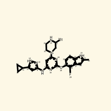 CCC1CN(c2cc(Nc3cc(C4CC4)[nH]n3)nc(Oc3ccc4[nH]c(C)cc4c3F)n2)CCN1